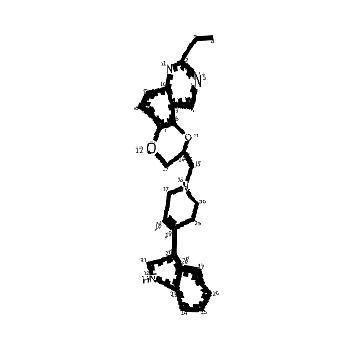 CCc1ncc2c3c(ccc2n1)OCC(CN1CC=C(c2c[nH]c4ccccc24)CC1)O3